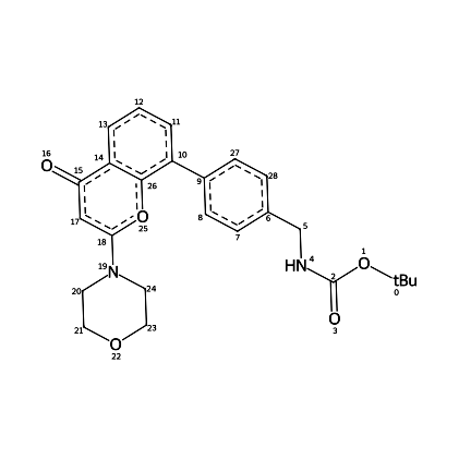 CC(C)(C)OC(=O)NCc1ccc(-c2cccc3c(=O)cc(N4CCOCC4)oc23)cc1